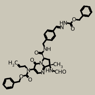 C=CCN(C(=O)OCc1ccccc1)c1cnc2n(c1=O)[C@@H](C(=O)NCc1ccc(C=NNC(=O)OCc3ccccc3)cc1)C[C@]2(C)NC=O